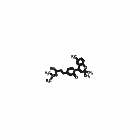 C[SiH](C)OC(CCc1ccn(C2=CC(C)(C)Oc3ccc(C(F)(F)F)cc32)c(=O)c1)C(C)(C)C